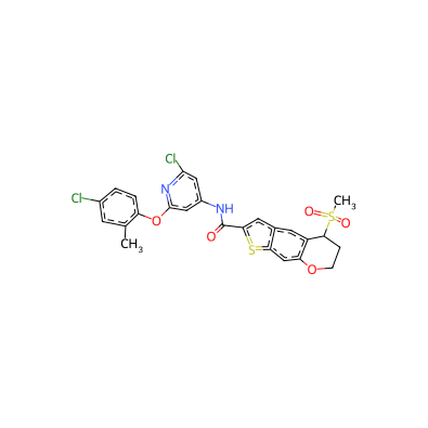 Cc1cc(Cl)ccc1Oc1cc(NC(=O)c2cc3cc4c(cc3s2)OCCC4S(C)(=O)=O)cc(Cl)n1